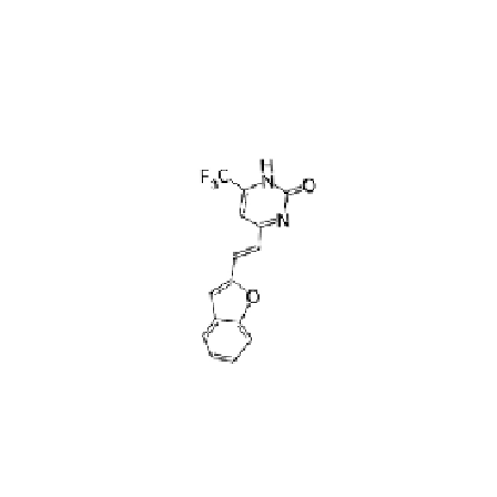 O=c1nc(C=Cc2cc3ccccc3o2)cc(C(F)(F)F)[nH]1